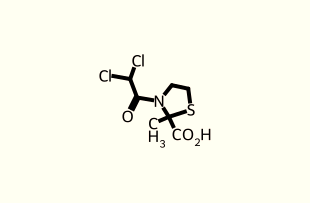 CC1(C(=O)O)SCCN1C(=O)C(Cl)Cl